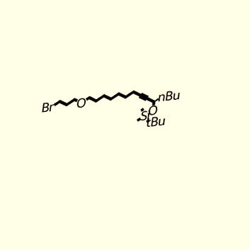 CCCC[C@H](C#CCCCCCCCOCCCBr)O[Si](C)(C)C(C)(C)C